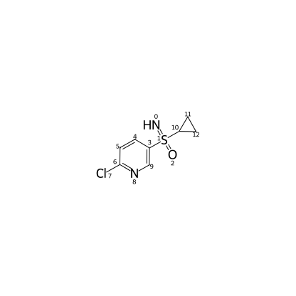 N=S(=O)(c1ccc(Cl)nc1)C1CC1